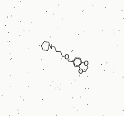 [CH]1CCN(CCCCOCc2ccc3c(c2)OCCO3)CC1